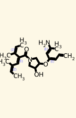 C=C/C=C(\C=C(/C)N)OC1CN(C(=O)C(=C/C(C)=C\C)/C(C)=C\C)CC1O